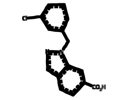 O=C(O)c1ccc2cnn(Cc3cccc(Cl)c3)c2c1